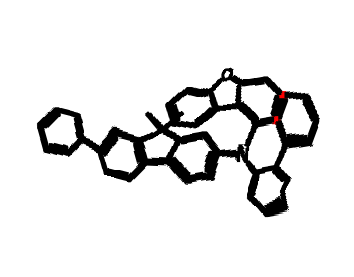 CC1(C)c2cc(-c3ccccc3)ccc2-c2ccc(N(c3ccccc3-c3ccccc3)c3cccc4oc5ccccc5c34)cc21